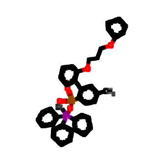 CCP(OS(=O)(=O)c1ccc(C)cc1-c1ccccc1OCCCOc1ccccc1)(c1ccccc1)(c1ccccc1)c1ccccc1